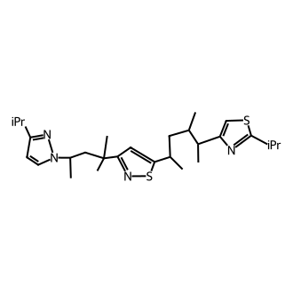 CC(C)c1ccn(C(C)CC(C)(C)c2cc(C(C)CC(C)C(C)c3csc(C(C)C)n3)sn2)n1